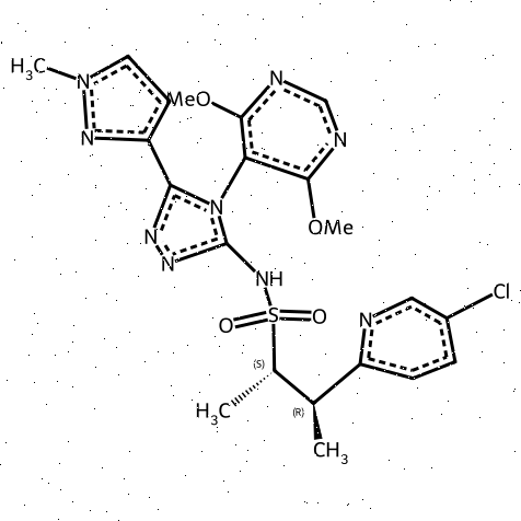 COc1ncnc(OC)c1-n1c(NS(=O)(=O)[C@@H](C)[C@H](C)c2ccc(Cl)cn2)nnc1-c1ccn(C)n1